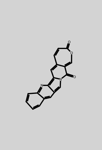 O=c1ccc2cc3c4nc5ccccc5cc4cn3c(=O)c2co1